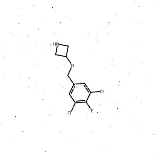 Fc1c(Cl)cc(COC2CNC2)cc1Cl